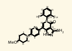 COC1CCN(c2ccc(-c3cn(-c4c(F)cccc4F)c(=O)c4c(N)n[nH]c34)nc2)CC1